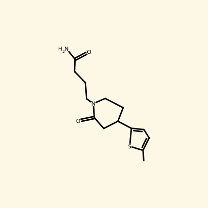 Cc1ccc(C2CCN(CCCC(N)=O)C(=O)C2)s1